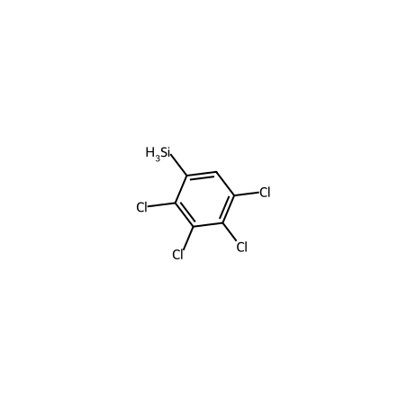 [SiH3]c1cc(Cl)c(Cl)c(Cl)c1Cl